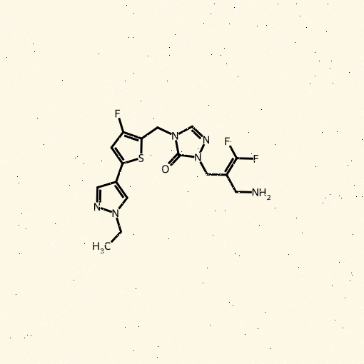 CCn1cc(-c2cc(F)c(Cn3cnn(CC(CN)=C(F)F)c3=O)s2)cn1